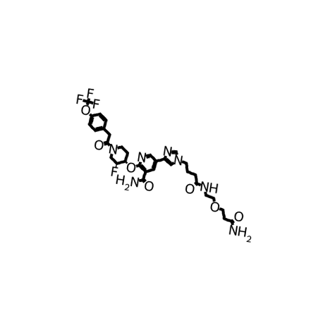 NC(=O)CCOCCNC(=O)CCCn1cnc(-c2cnc(O[C@@H]3CCN(C(=O)Cc4ccc(OC(F)(F)F)cc4)C[C@H]3F)c(C(N)=O)c2)c1